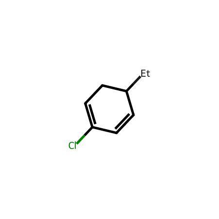 CCC1C=CC(Cl)=CC1